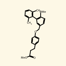 COC(=O)CCc1ccc(OCc2ccc(OC)c(-c3c(C)cccc3C)c2)cc1